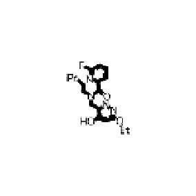 CCOc1cc(O)c(CN(CCC(C)C)C(=O)c2cccc(F)n2)nn1